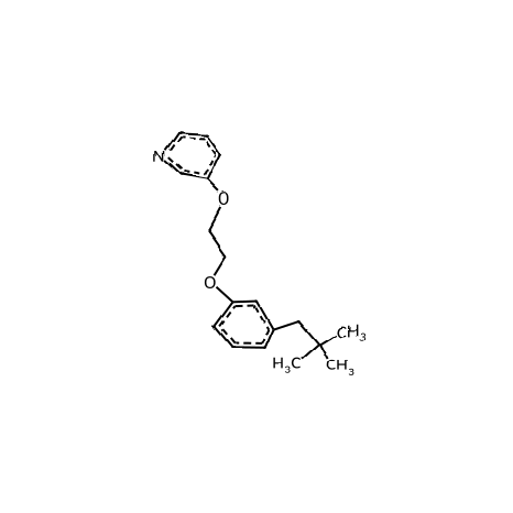 CC(C)(C)Cc1cccc(OCCOc2cccnc2)c1